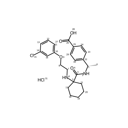 C[C@H](NC(=O)C1(NCCOc2cccc(Cl)c2)CCCCC1)c1ccc(C(=O)O)cc1.Cl